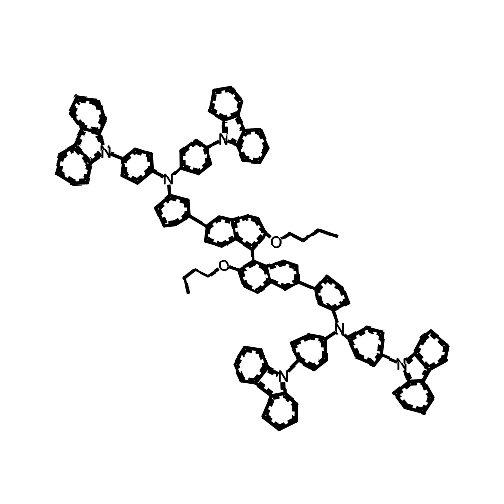 CCCCOc1ccc2cc(-c3cccc(N(c4ccc(-n5c6ccccc6c6ccccc65)cc4)c4ccc(-n5c6ccccc6c6ccccc65)cc4)c3)ccc2c1-c1c(OCCCC)ccc2cc(-c3cccc(N(c4ccc(-n5c6ccccc6c6ccccc65)cc4)c4ccc(-n5c6ccccc6c6ccccc65)cc4)c3)ccc12